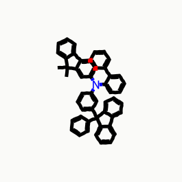 CC1(C)c2ccccc2-c2ccc(N(c3cccc(C4(c5ccccc5)c5ccccc5-c5ccccc54)c3)c3ccccc3-c3ccccc3)cc21